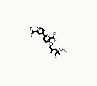 CC(COc1ccc(-c2ccnc(C(F)F)c2)nc1C(F)F)CC(C)(N)CF